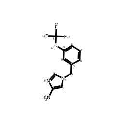 Nc1cn(Cc2cccc(OC(F)(F)F)c2)cn1